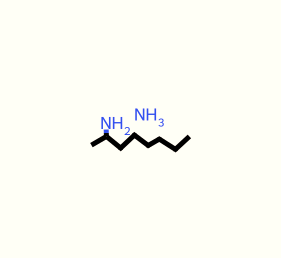 CCCCCCC(C)N.N